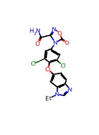 CCn1cnc2ccc(Oc3c(Cl)cc(-n4c(C(N)=O)noc4=O)cc3Cl)cc21